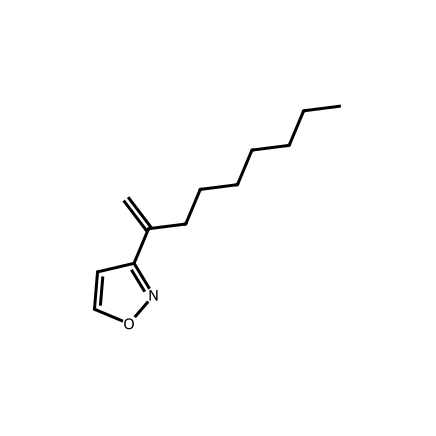 C=C(CCCCCCC)c1ccon1